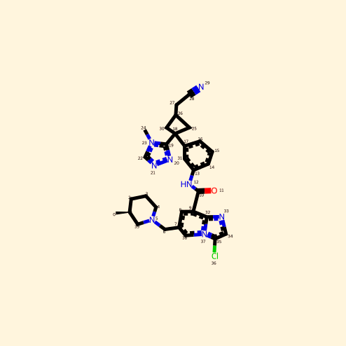 C[C@H]1CCCN(Cc2cc(C(=O)Nc3cccc(C4(c5nncn5C)CC(CC#N)C4)c3)c3ncc(Cl)n3c2)C1